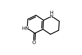 O=c1[nH]ccc2c1CCCN2